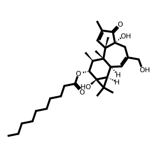 CCCCCCCCCC(=O)O[C@@H]1[C@@H](C)[C@@]2(C)[C@@H](C=C(CO)C[C@]3(O)C(=O)C(C)=C[C@@]23C)[C@H]2C(C)(C)[C@]12O